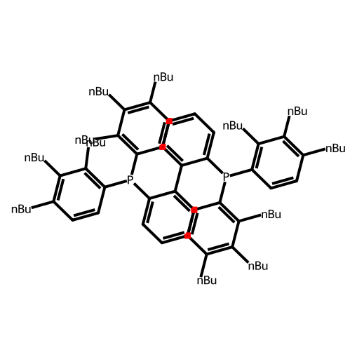 CCCCc1ccc(P(c2ccccc2-c2ccccc2P(c2ccc(CCCC)c(CCCC)c2CCCC)c2ccc(CCCC)c(CCCC)c2CCCC)c2ccc(CCCC)c(CCCC)c2CCCC)c(CCCC)c1CCCC